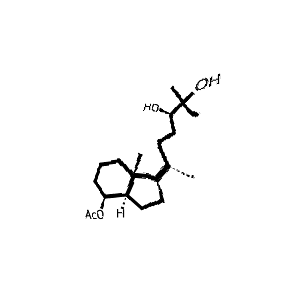 CC(=O)O[C@H]1CCC[C@]2(C)[C@@H]([C@@H](C)CC[C@@H](O)C(C)(C)O)CC[C@@H]12